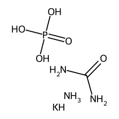 N.NC(N)=O.O=P(O)(O)O.[KH]